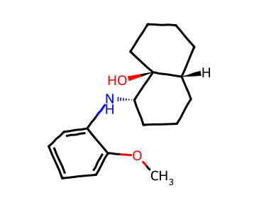 COc1ccccc1N[C@H]1CCC[C@H]2CCCC[C@]21O